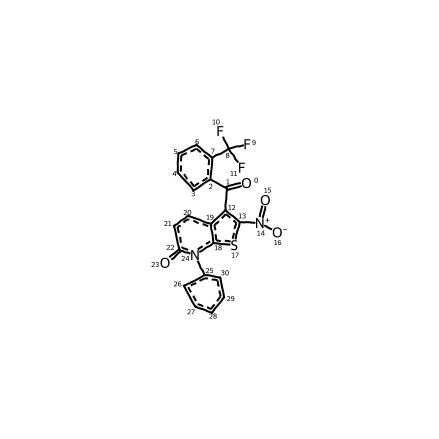 O=C(c1ccccc1C(F)(F)F)c1c([N+](=O)[O-])sc2c1ccc(=O)n2-c1ccccc1